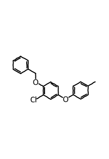 Cc1ccc(Oc2ccc(OCc3ccccc3)c(Cl)c2)cc1